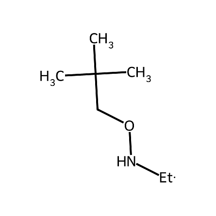 C[CH]NOCC(C)(C)C